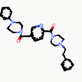 O=C(c1ccc(C(=O)N2CCN(CCc3ccccc3)CC2)nc1)N1CCN(c2ccccc2)CC1